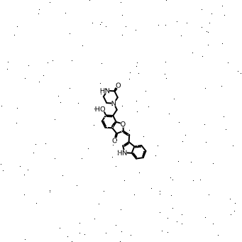 O=C1CN(Cc2c(O)ccc3c2OC(=Cc2c[nH]c4ccccc24)C3=O)CCN1